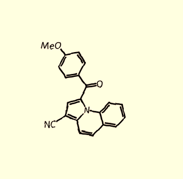 COc1ccc(C(=O)c2cc(C#N)c3ccc4ccccc4n23)cc1